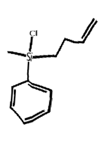 C=CCC[Si](C)(Cl)c1ccccc1